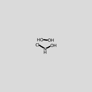 ONCl.OO